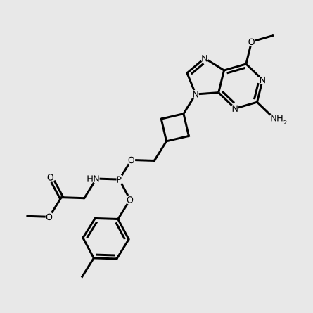 COC(=O)CNP(OCC1CC(n2cnc3c(OC)nc(N)nc32)C1)Oc1ccc(C)cc1